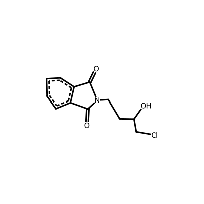 O=C1c2ccccc2C(=O)N1CCC(O)CCl